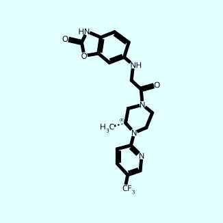 C[C@@H]1CN(C(=O)CNc2ccc3[nH]c(=O)oc3c2)CCN1c1ccc(C(F)(F)F)cn1